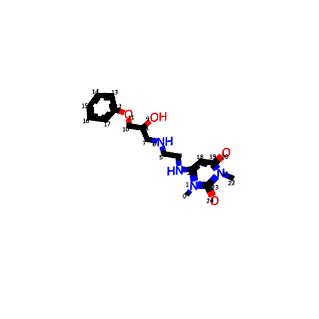 Cn1c(NCCNCC(O)COc2ccccc2)cc(=O)n(C)c1=O